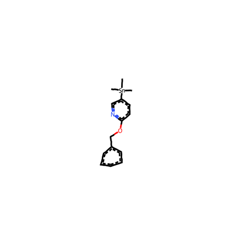 [CH3][Sn]([CH3])([CH3])[c]1ccc(OCc2ccccc2)nc1